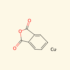 O=C1OC(=O)c2ccccc21.[Cu]